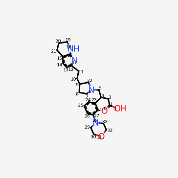 O=C(O)CC(CN1CCC(CCc2ccc3c(n2)NCCC3)C1)c1cccc(N2CCOCC2)c1